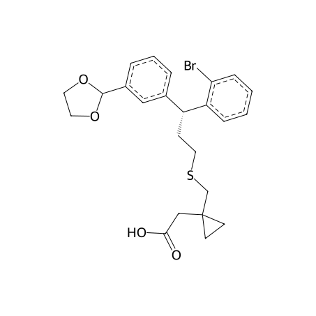 O=C(O)CC1(CSCC[C@H](c2cccc(C3OCCO3)c2)c2ccccc2Br)CC1